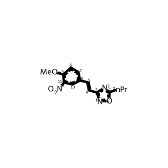 CCCc1nc(C=Cc2ccc(OC)c([N+](=O)[O-])c2)no1